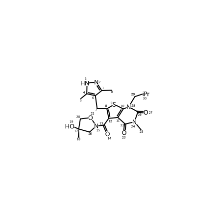 Cc1n[nH]c(C)c1Cc1sc2c(c1C(=O)N1C[C@](C)(O)CO1)c(=O)n(C)c(=O)n2CC(C)C